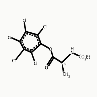 CCOC(=O)N[C@@H](C)C(=O)Oc1c(Cl)c(Cl)c(Cl)c(Cl)c1Cl